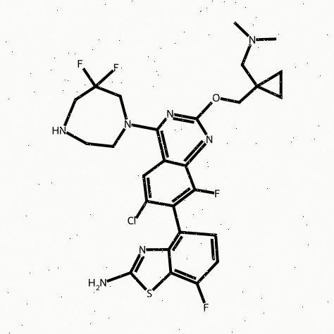 CN(C)CC1(COc2nc(N3CCNCC(F)(F)C3)c3cc(Cl)c(-c4ccc(F)c5sc(N)nc45)c(F)c3n2)CC1